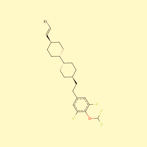 CC/C=C/[C@H]1CC[C@H]([C@H]2CC[C@H](CCc3cc(F)c(OC(F)F)c(F)c3)CC2)CC1